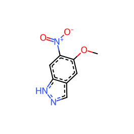 COc1cc2cn[nH]c2cc1[N+](=O)[O-]